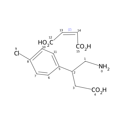 NCC(CC(=O)O)c1ccc(Cl)cc1.O=C(O)/C=C\C(=O)O